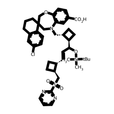 CC(C)(C)[Si](C)(C)OC(/C=C/[C@H]1CC[C@@H]1CS(=O)(=O)c1ncccn1)[C@@H]1CC[C@H]1CN1CC2(CCCc3cc(Cl)ccc32)COc2ccc(C(=O)O)cc21